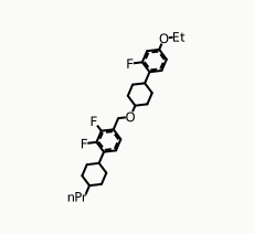 CCCC1CCC(c2ccc(COC3CCC(c4ccc(OCC)cc4F)CC3)c(F)c2F)CC1